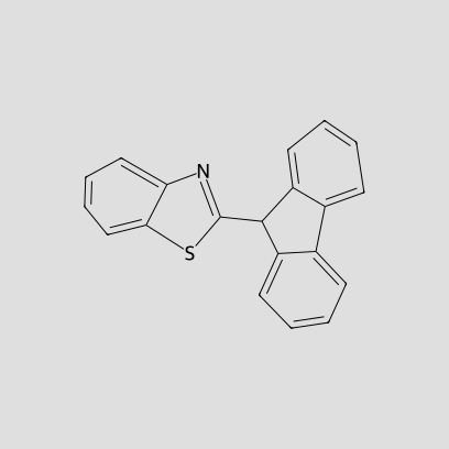 c1ccc2c(c1)-c1ccccc1C2c1nc2ccccc2s1